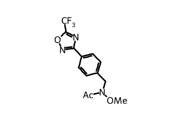 CON(Cc1ccc(-c2noc(C(F)(F)F)n2)cc1)C(C)=O